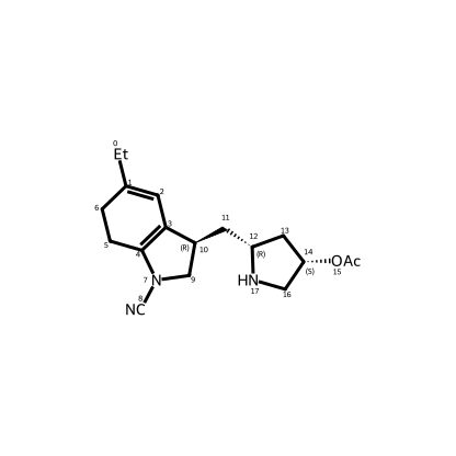 CCC1=CC2=C(CC1)N(C#N)C[C@@H]2C[C@@H]1C[C@H](OC(C)=O)CN1